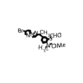 COCN(C)c1ccc(C(C)c2ccn(-c3ccc(Br)cn3)n2)cc1SC=O